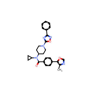 Cc1ncoc1-c1ccc(C(=O)N(C2CC2)C2CCN(c3nc(-c4ccccc4)no3)CC2)cc1